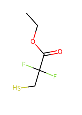 CCOC(=O)C(F)(F)CS